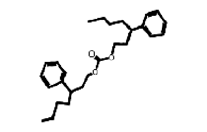 CCCCC(CCOC(=O)OCCC(CCCC)c1ccccc1)c1ccccc1